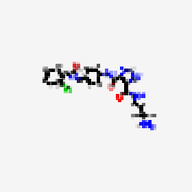 CC(C)(N)CCNC(=O)c1[nH]cnc1C(=O)Nc1ccc(NC(=O)c2ccccc2Cl)cc1